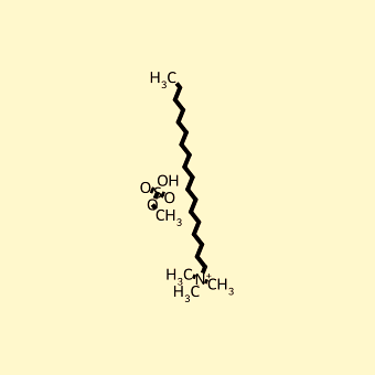 CCCCCCCCCCCCCCCCCC[N+](C)(C)C.COS(=O)(=O)O